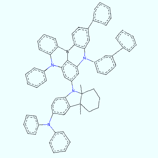 CC12CCCCC1(C)N(c1cc3c4c(c1)N(c1cccc(-c5ccccc5)c1)c1cc(-c5ccccc5)ccc1B4c1ccccc1N3c1ccccc1)c1ccc(N(c3ccccc3)c3ccccc3)cc12